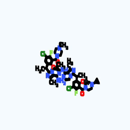 Cc1nc(C(C)c2cc(Cl)c(F)c(C(=O)N3CCN(C)CC3)c2OC(C)CNc2nccn3c(C(C)c4cc(Cl)c(F)c(C(=O)N5CCN(C6CC6)CC5)c4OC(C)C)nc(C)c23)n2ccnc(N)c12